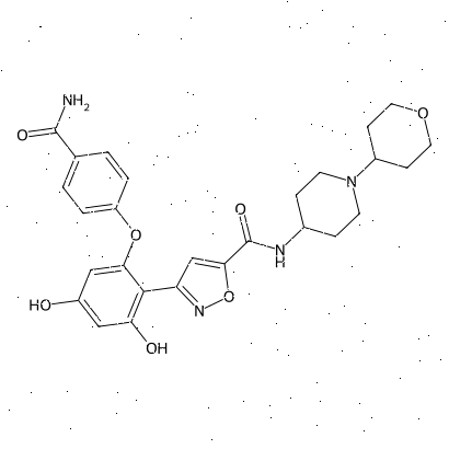 NC(=O)c1ccc(Oc2cc(O)cc(O)c2-c2cc(C(=O)NC3CCN(C4CCOCC4)CC3)on2)cc1